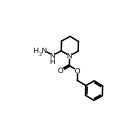 NNC1CCCCN1C(=O)OCc1ccccc1